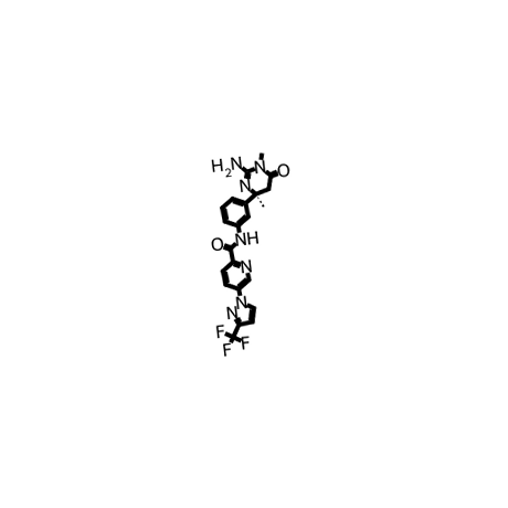 CN1C(=O)C[C@@](C)(c2cccc(NC(=O)c3ccc(-n4ccc(C(F)(F)F)n4)cn3)c2)N=C1N